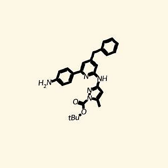 Cc1cc(Nc2cc(Cc3ccccc3)cc(-c3ccc(N)cc3)n2)nn1C(=O)OC(C)(C)C